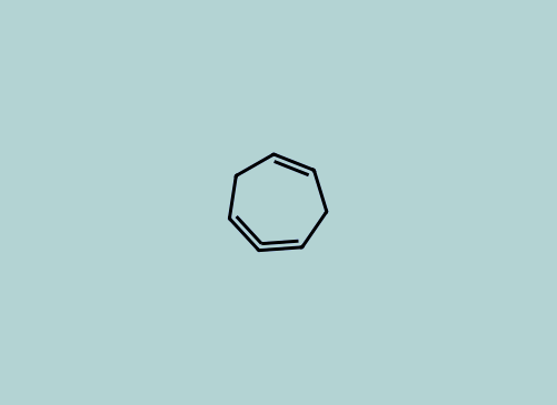 C1=CCC=CCC=1